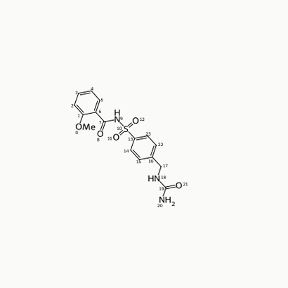 COc1ccccc1C(=O)NS(=O)(=O)c1ccc(CNC(N)=O)cc1